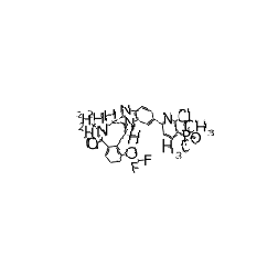 [2H]C([2H])([2H])N1C(=O)c2cccc(OC(F)F)c2[C@H]2C[C@@H]1c1nc3ccc(-c4ccc(P(C)(C)=O)c(Cl)n4)cc3n12